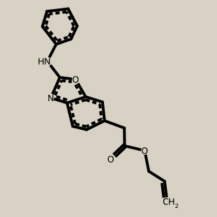 C=CCOC(=O)Cc1ccc2nc(Nc3ccccc3)oc2c1